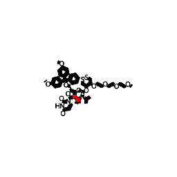 COCCOCCOCCO[C@@H]1CSSCC1OP(OC1[C@@H](OC)[C@H](n2ccc(=O)[nH]c2=O)O[C@@H]1COC(c1ccccc1)(c1ccc(OC)cc1)c1ccc(OC)cc1)N(C(C)C)C(C)C